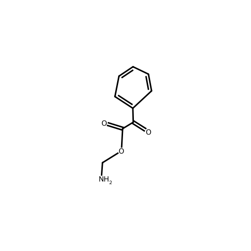 NCOC(=O)C(=O)c1ccccc1